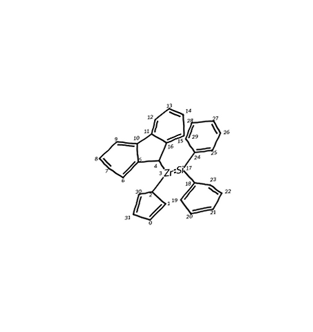 C1=C[CH]([Zr]([CH]2c3ccccc3-c3ccccc32)=[Si](c2ccccc2)c2ccccc2)C=C1